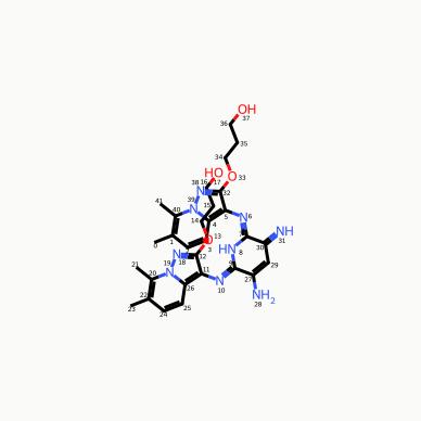 Cc1ccc2c(/N=C3\N/C(=N\c4c(OCCCO)nn5c(C)c(C)ccc45)C(N)=CC3=N)c(OCCCO)nn2c1C